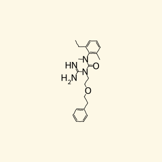 CCc1cccc(C)c1N(C)C(=O)N(CCOCCc1ccccc1)C(=N)N